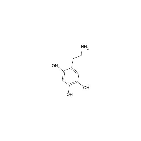 NCCc1cc(O)c(O)cc1N=O